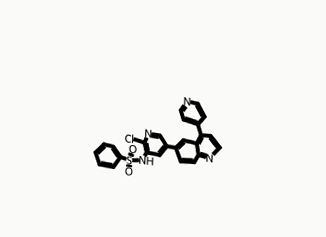 O=S(=O)(Nc1cc(-c2ccc3nccc(-c4ccncc4)c3c2)cnc1Cl)c1ccccc1